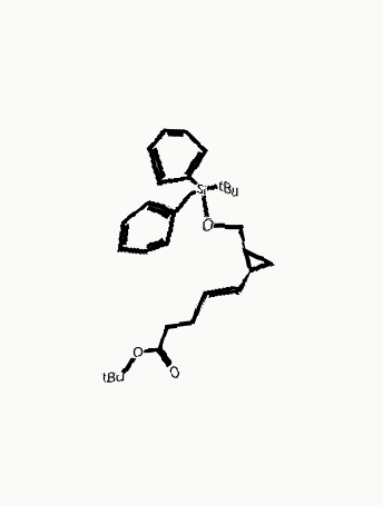 CC(C)(C)OC(=O)CCC=C[C@@H]1C[C@@H]1CO[Si](c1ccccc1)(c1ccccc1)C(C)(C)C